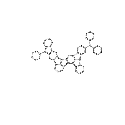 c1ccc(N(c2ccccc2)c2ccc3c4cc5c(c6cccc7c8cc9c(cc8n5c76)c5ccccc5n9-c5ccccc5)c5c6ccccc6n(c3c2)c45)cc1